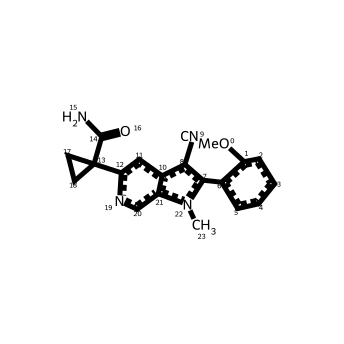 COc1ccccc1-c1c(C#N)c2cc(C3(C(N)=O)CC3)ncc2n1C